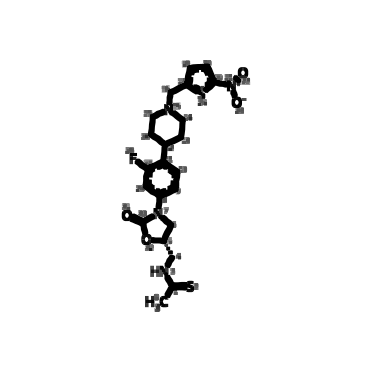 CC(=S)NC[C@H]1CN(c2ccc(C3CCN(Cc4ccc([N+](=O)[O-])s4)CC3)c(F)c2)C(=O)O1